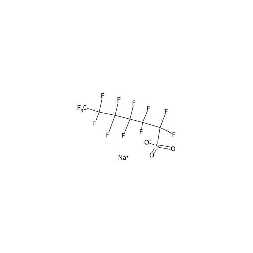 O=S(=O)([O-])C(F)(F)C(F)(F)C(F)(F)C(F)(F)C(F)(F)C(F)(F)F.[Na+]